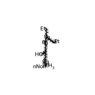 CC/C=C\CCCCOC(CCC(=O)OCCCCCCN(CCO)CCCCCOC(=O)OC(C)CCCCCCCCC)OCCCC/C=C\CC